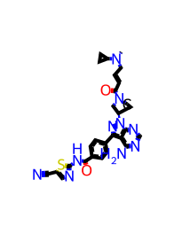 CN(CC=CC(=O)N1CC[C@@H](n2nc(-c3ccc(C(=O)Nc4ncc(C#N)s4)cc3)c3c(N)ncnc32)C1)C1CC1